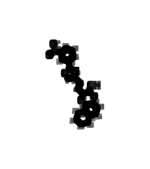 O=C(O)C(C=Cc1coc(-c2cccc([N+](=O)[O-])c2)n1)Oc1cccc2c1CCCC2